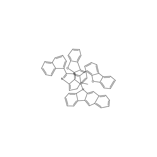 CC1C/C=C(c2c(-n3c4ccccc4c4cc5ccccc5cc43)ccc3c2oc2ccccc23)/N=C(c2cccc3ccccc23)\N=C/1c1cccc2c1oc1ccccc12